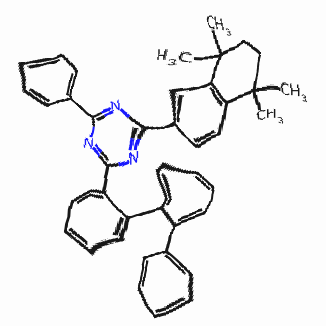 CC1(C)CCC(C)(C)c2cc(-c3nc(-c4ccccc4)nc(-c4ccccc4-c4ccccc4-c4ccccc4)n3)ccc21